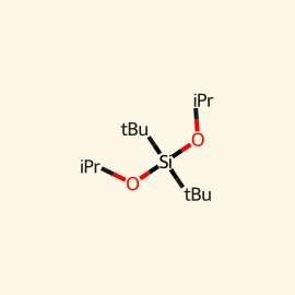 CC(C)O[Si](OC(C)C)(C(C)(C)C)C(C)(C)C